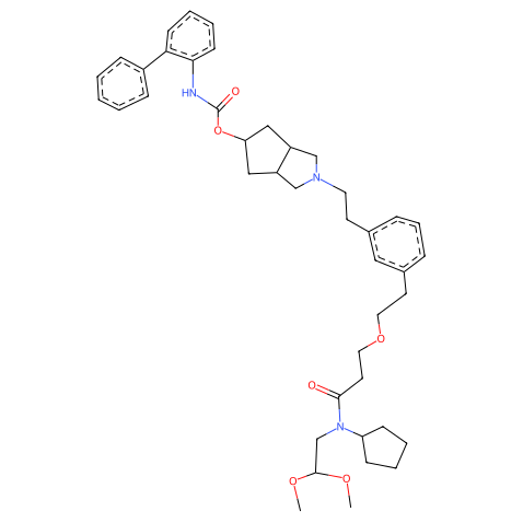 COC(CN(C(=O)CCOCCc1cccc(CCN2CC3CC(OC(=O)Nc4ccccc4-c4ccccc4)CC3C2)c1)C1CCCC1)OC